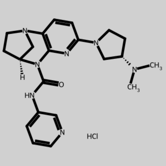 CN(C)[C@H]1CCN(c2ccc3c(n2)N(C(=O)Nc2cccnc2)[C@H]2CCN3C2)C1.Cl